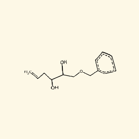 C=CCC(O)C(O)COCc1ccccc1